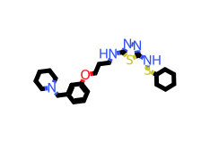 c1cc(CN2CCCCC2)cc(OCCCNc2nnc(NSC3CCCCC3)s2)c1